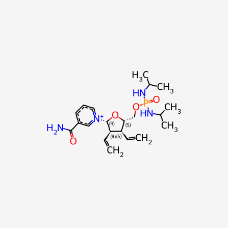 C=C[C@@H]1[C@H](C=C)[C@@H](COP(=O)(NC(C)C)NC(C)C)O[C@H]1[n+]1cccc(C(N)=O)c1